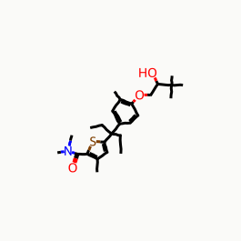 CCC(CC)(c1ccc(OCC(O)C(C)(C)C)c(C)c1)c1cc(C)c(C(=O)N(C)C)s1